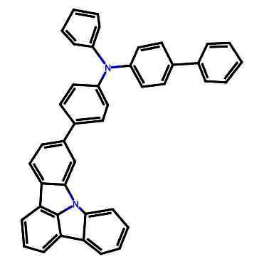 c1ccc(-c2ccc(N(c3ccccc3)c3ccc(-c4ccc5c6cccc7c8ccccc8n(c5c4)c76)cc3)cc2)cc1